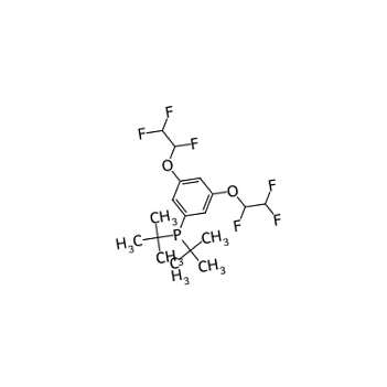 CC(C)(C)P(c1cc(OC(F)C(F)F)cc(OC(F)C(F)F)c1)C(C)(C)C